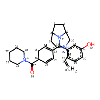 C=CCN1CCC2CCC(C1)N2C(C1=CCC(C(=O)N2CCCCC2)C=C1)c1cccc(O)c1